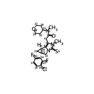 CN(C(=O)Cc1c2n(c(=S)n1C)C[C@@]1(c3c(F)ccc(Cl)c3F)C[C@@H]21)C1CCOCC1